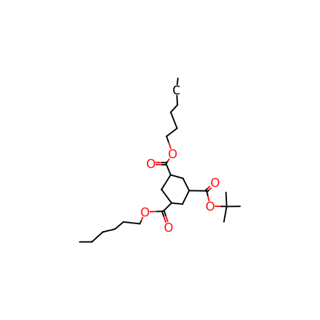 CCCCCCOC(=O)C1CC(C(=O)OCCCCCC)CC(C(=O)OC(C)(C)C)C1